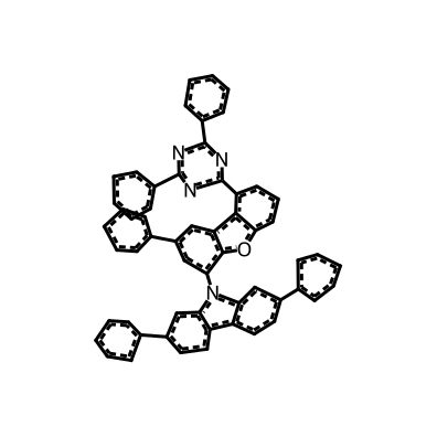 c1ccc(-c2cc(-n3c4cc(-c5ccccc5)ccc4c4ccc(-c5ccccc5)cc43)c3oc4cccc(-c5nc(-c6ccccc6)nc(-c6ccccc6)n5)c4c3c2)cc1